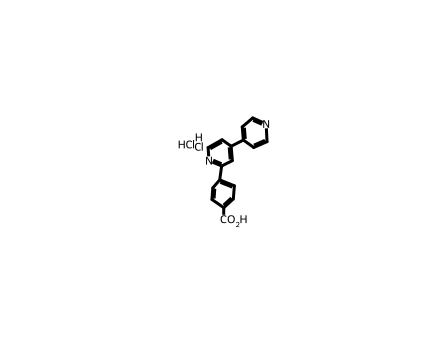 Cl.Cl.O=C(O)c1ccc(-c2cc(-c3ccncc3)ccn2)cc1